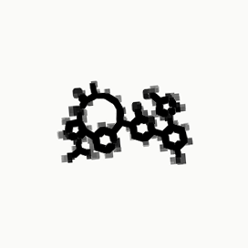 CC1CC/C=C(/c2ccc(-c3cc(Cl)ccc3-n3cc(Cl)nn3)oc2=O)c2cc(ccn2)-c2c(cnn2C(F)F)NC1=O